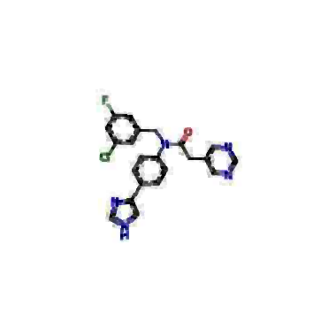 O=C(Cc1cncnc1)N(Cc1cc(F)cc(Cl)c1)c1ccc(-c2c[nH]cn2)cc1